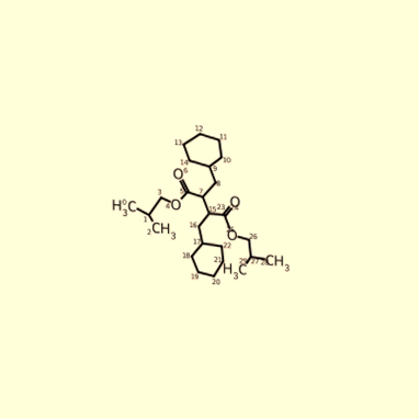 CC(C)COC(=O)C(CC1CCCCC1)C(CC1CCCCC1)C(=O)OCC(C)C